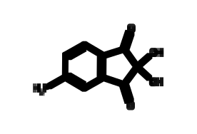 O=C1c2ccc(P)cc2C(=O)C1(O)O